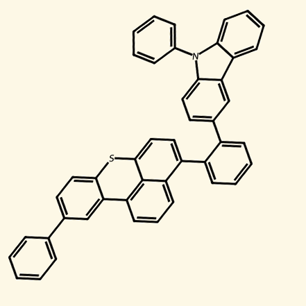 c1ccc(-c2ccc3c(c2)-c2cccc4c(-c5ccccc5-c5ccc6c(c5)c5ccccc5n6-c5ccccc5)ccc(c24)S3)cc1